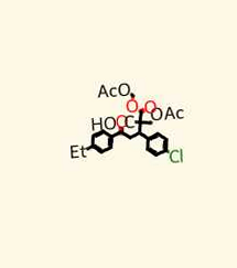 CCc1ccc(C(=O)CC(c2ccc(Cl)cc2)C(COC(C)=O)(C(=O)O)C(=O)OCOC(C)=O)cc1